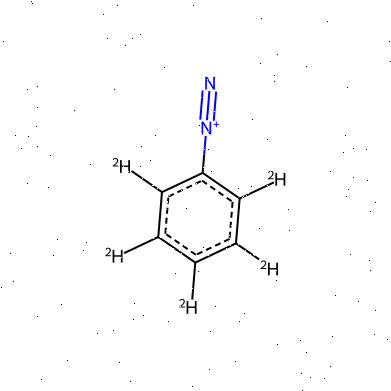 [2H]c1c([2H])c([2H])c([N+]#N)c([2H])c1[2H]